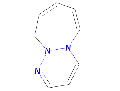 C1=CCN2N=CC=CN2C=C1